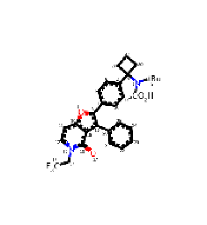 CC(C)(C)N(C(=O)O)C1(c2ccc(-c3oc4ccn(CC(F)(F)F)c(=O)c4c3-c3ccccc3)cc2)CCC1